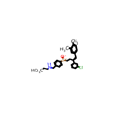 Cc1ccc(/C=C(\CC[S+]([O-])c2ccc(CNCCC(=O)O)cc2)c2cccc(Cl)c2)cc1C